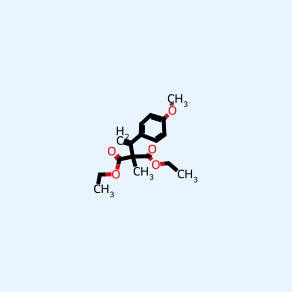 C=C(c1ccc(OC)cc1)C(C)(C(=O)OCC)C(=O)OCC